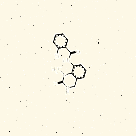 CN1C(=O)NCc2cccc(NC(=O)c3ccccc3Cl)c21